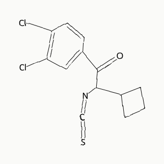 O=C(c1ccc(Cl)c(Cl)c1)C(N=C=S)C1CCC1